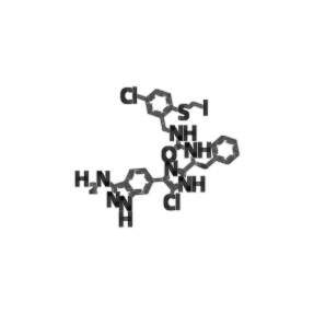 Nc1n[nH]c2cc(-c3nc([C@H](Cc4ccccc4)NC(=O)NCc4cc(Cl)ccc4SCI)[nH]c3Cl)ccc12